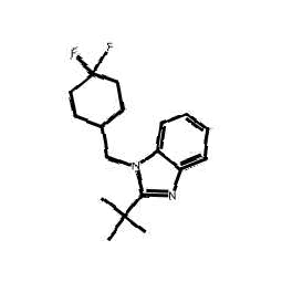 CC(C)(C)c1nc2c[c]ccc2n1CC1CCC(F)(F)CC1